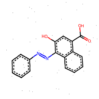 O=C(O)c1[c]c(O)c(N=Nc2ccccc2)c2ccccc12